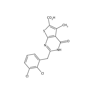 Cc1c(C(=O)O)sc2nc(Cc3cccc(Cl)c3Cl)[nH]c(=O)c12